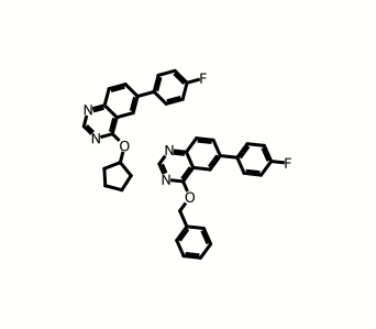 Fc1ccc(-c2ccc3ncnc(OC4CCCC4)c3c2)cc1.Fc1ccc(-c2ccc3ncnc(OCc4ccccc4)c3c2)cc1